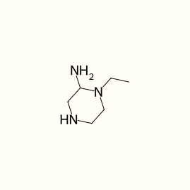 CCN1CCNCC1N